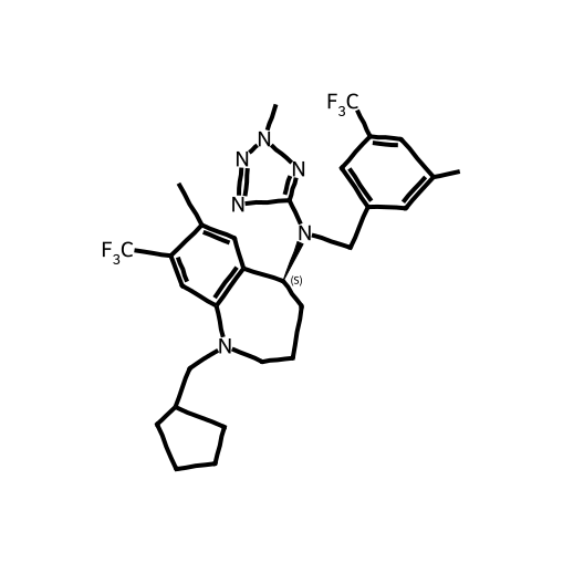 Cc1cc(CN(c2nnn(C)n2)[C@H]2CCCN(CC3CCCC3)c3cc(C(F)(F)F)c(C)cc32)cc(C(F)(F)F)c1